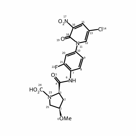 CO[C@@H]1C[C@H](C(=O)Nc2ccc(-n3cc(Cl)cc([N+](=O)[O-])c3=O)cc2F)N(C(=O)O)C1